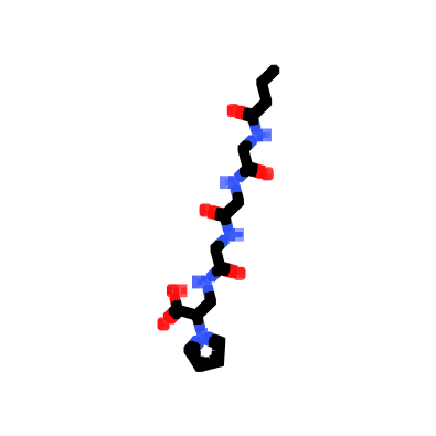 CCCC(=O)NCC(=O)NCC(=O)NCC(=O)NCC(C(=O)O)n1cccc1